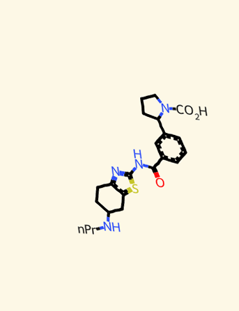 CCCNC1CCc2nc(NC(=O)c3cccc(C4CCCN4C(=O)O)c3)sc2C1